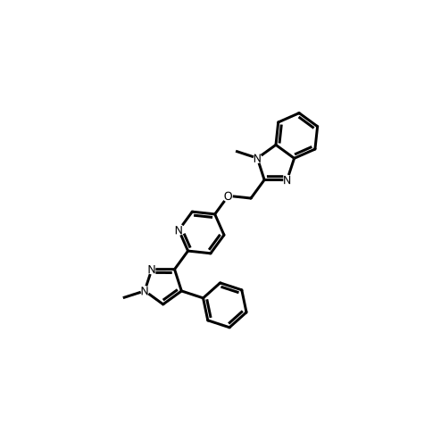 Cn1cc(-c2ccccc2)c(-c2ccc(OCc3nc4ccccc4n3C)cn2)n1